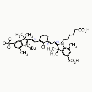 CCCC[N+]1=C(/C=C/C2=C(Cl)C(=C/C=C3/N(CCCCCC(=O)O)c4c(C)cc(S(=O)(=O)O)cc4C3(C)C)/CCC2)C(C)(C)c2cc(S(=O)(=O)[O-])cc(C)c21